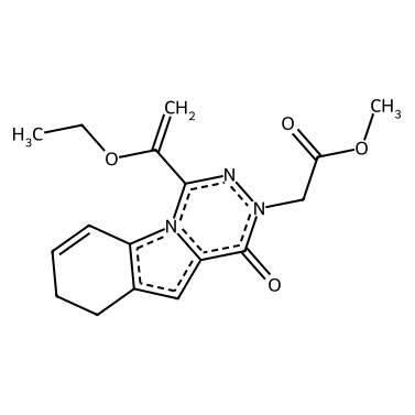 C=C(OCC)c1nn(CC(=O)OC)c(=O)c2cc3c(n12)C=CCC3